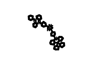 c1ccc(N2c3ccccc3N(c3ccc(-c4nsc(-c5ccc(N6c7ccccc7C(c7ccccc7)(c7ccccc7)c7ccccc76)cc5)n4)cc3)c3ccccc32)cc1